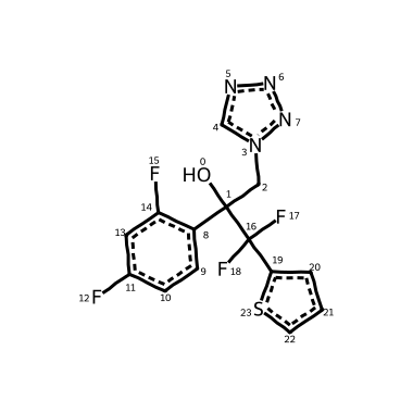 OC(Cn1cnnn1)(c1ccc(F)cc1F)C(F)(F)c1cccs1